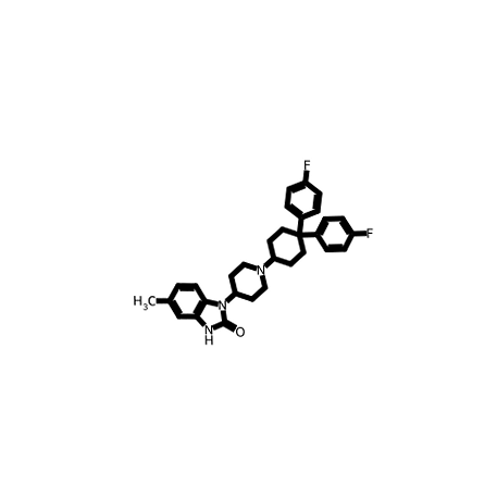 Cc1ccc2c(c1)[nH]c(=O)n2C1CCN(C2CCC(c3ccc(F)cc3)(c3ccc(F)cc3)CC2)CC1